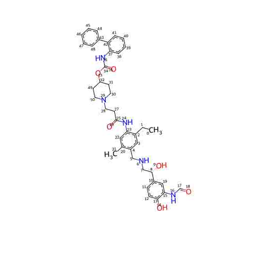 CCc1cc(CNC[C@H](O)c2ccc(O)c(NC=O)c2)c(C)cc1NC(=O)CCN1CCC(OC(=O)Nc2ccccc2-c2ccccc2)CC1